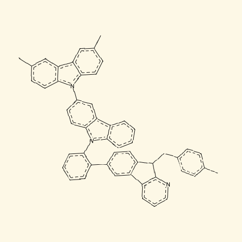 Cc1ccc(CC2c3ccc(-c4ccccc4-n4c5ccccc5c5cc(-n6c7ccc(C)cc7c7cc(C)ccc76)ccc54)cc3-c3cccnc32)cc1